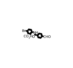 O=Cc1ccc(C(=O)Nc2ccc(Br)cc2C(=O)O)cc1